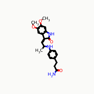 COc1cc2c(cc1OC)C(=CC(C)Nc1ccc(CCC(N)=O)cc1)C(=O)N2